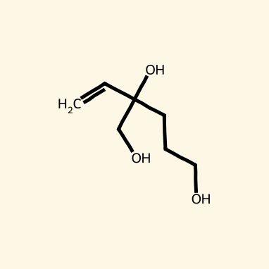 C=CC(O)(CO)CCCO